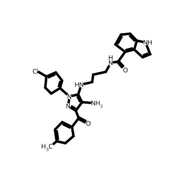 CC1=CC=C(C(=O)c2nn(C3=CC=C(Cl)CC3)c(NCCCNC(=O)c3cccc4[nH]ccc34)c2N)CC1